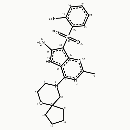 Cc1nc(N2CCOC3(CCCC3)C2)c2[nH]c(N)c(S(=O)(=O)c3ccccc3F)c2n1